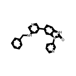 O=c1[nH]c2ccc(-c3cncc(NCc4ccccc4)c3)cc2n1-c1cccnc1